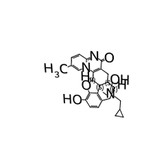 Cc1ccc2nc(=O)c3c(n2c1)[C@@H]1Oc2c(O)ccc4c2[C@@]12CCN(CC1CC1)[C@H](C4)[C@]2(O)C3